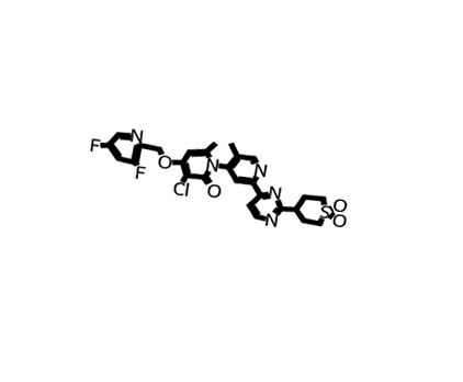 Cc1cnc(-c2ccnc(C3CCS(=O)(=O)CC3)n2)cc1-n1c(C)cc(OCc2ncc(F)cc2F)c(Cl)c1=O